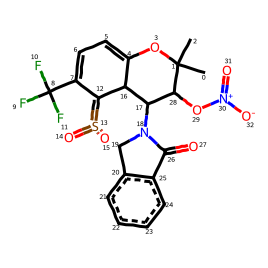 CC1(C)OC2=CC=C(C(F)(F)F)C(=S(=O)=O)C2C(N2Cc3ccccc3C2=O)C1O[N+](=O)[O-]